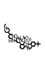 CCN1CCC(c2ccc(Nc3cc(-c4cccc(-n5ncc6cc(C(C)(C)C)cc(F)c6c5=O)c4COC(C)=O)nn(C)c3=O)nc2)CC1